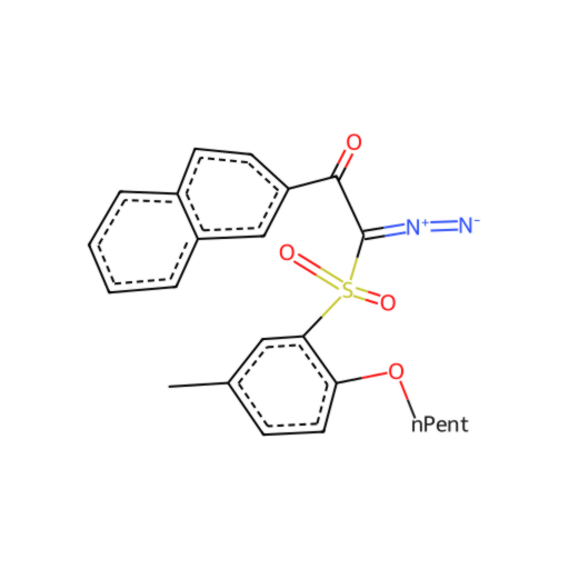 CCCCCOc1ccc(C)cc1S(=O)(=O)C(=[N+]=[N-])C(=O)c1ccc2ccccc2c1